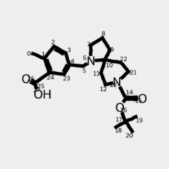 Cc1ccc(CN2CCCC23CCN(C(=O)OC(C)(C)C)CC3)cc1C(=O)O